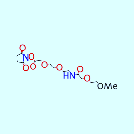 COCCOCC(=O)NCCOCCOCC(=O)ON1C(=O)CCC1=O